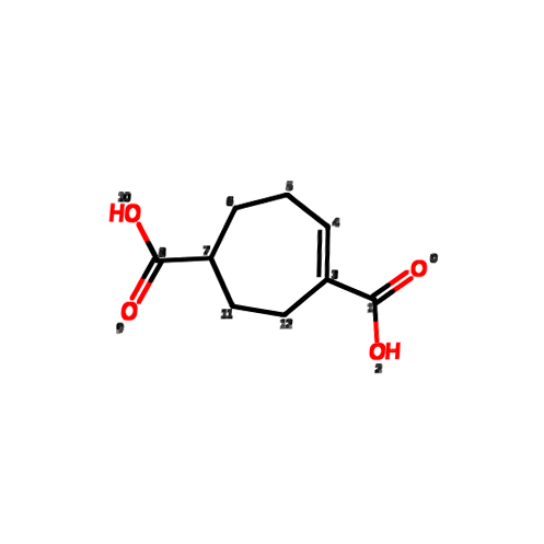 O=C(O)C1=CCCC(C(=O)O)CC1